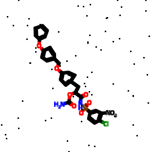 NC(=O)OC(Cc1ccc(OCc2ccc(Oc3ccccc3)cc2)cc1)C(=O)NS(=O)(=O)c1ccc(Cl)c([N+](=O)[O-])c1